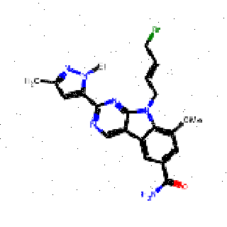 CCn1nc(C)cc1-c1ncc2c3cc(C(N)=O)cc(OC)c3n(CC=CCBr)c2n1